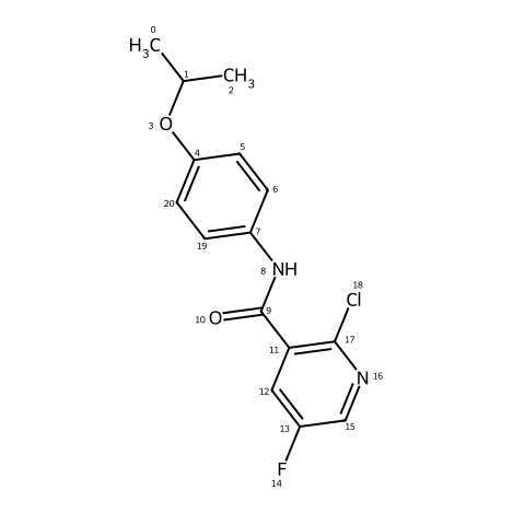 CC(C)Oc1ccc(NC(=O)c2cc(F)cnc2Cl)cc1